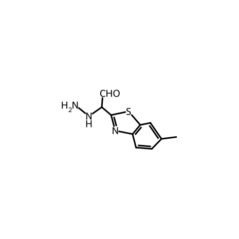 Cc1ccc2nc(C(C=O)NN)sc2c1